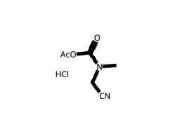 CC(=O)OC(=O)N(C)CC#N.Cl